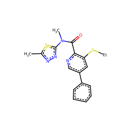 CCSc1cc(-c2ccccc2)cnc1C(=O)N(C)c1nnc(C)s1